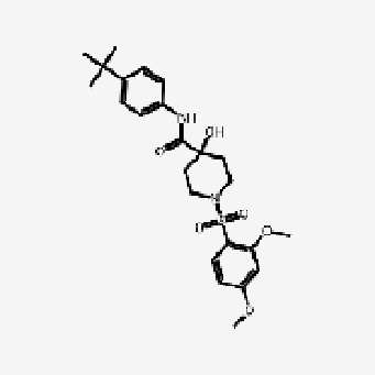 COc1ccc(S(=O)(=O)N2CCC(O)(C(=O)Nc3ccc(C(C)(C)C)cc3)CC2)c(OC)c1